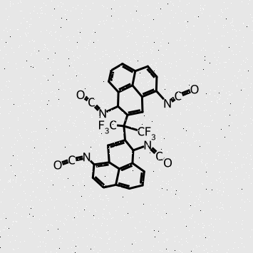 O=C=Nc1ccc2cccc3c2c1C=C(C(C1=Cc2c(N=C=O)ccc4cccc(c24)C1N=C=O)(C(F)(F)F)C(F)(F)F)C3N=C=O